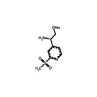 COC[C@H](N)c1ccnc(S(C)(=O)=O)c1